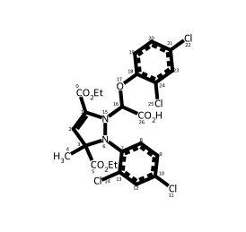 CCOC(=O)C1=CC(C)(C(=O)OCC)N(c2ccc(Cl)cc2Cl)N1C(Oc1ccc(Cl)cc1Cl)C(=O)O